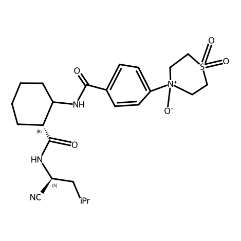 CC(C)C[C@@H](C#N)NC(=O)[C@@H]1CCCCC1NC(=O)c1ccc([N+]2([O-])CCS(=O)(=O)CC2)cc1